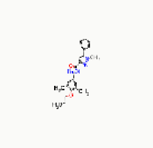 BCCOc1c(C)cc(-c2noc(-c3cc(-c4ccccc4)n(C)n3)n2)cc1C